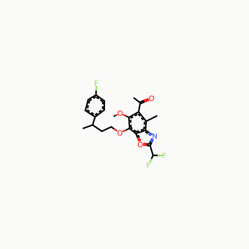 COc1c(C(C)=O)c(C)c2nc(C(F)F)oc2c1OCCC(C)c1ccc(F)cc1